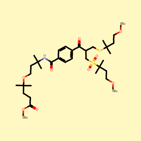 CC(C)(CCOC(C)(C)CCC(=O)OC(C)(C)C)NC(=O)c1ccc(C(=O)C(CSC(C)(C)CCOC(C)(C)C)CS(=O)(=O)C(C)(C)CCOC(C)(C)C)cc1